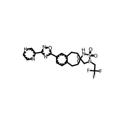 O=S1(=O)NC2(CN1CC(F)(F)F)C1CCC2Cc2cc(-c3nc(-c4cnccn4)no3)ccc2C1